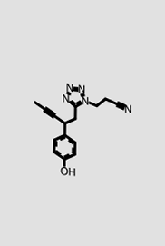 CC#CC(Cc1nnnn1CCC#N)c1ccc(O)cc1